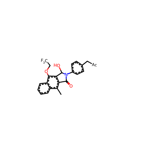 CC(=O)Cc1ccc(N2C(=O)c3c(c(OCC(F)(F)F)c4ccccc4c3C)C2O)cc1